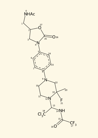 CC(=O)NCC1CN(c2ccc(N3CCN(C(NC(=O)C(F)(F)F)C(Cl)(Cl)Cl)C(C)(F)C3)cc2)C(=O)O1